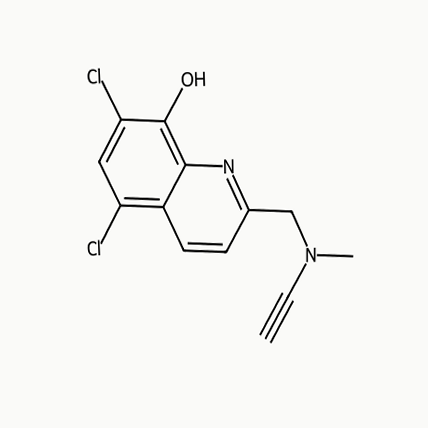 C#CN(C)Cc1ccc2c(Cl)cc(Cl)c(O)c2n1